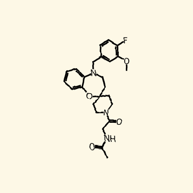 COc1cc(CN2CCC3(CCN(C(=O)CNC(C)=O)CC3)Oc3ccccc32)ccc1F